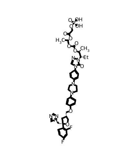 CC[C@@H]([C@H](C)OC(=O)OC(C)OC(=O)COP(=O)(O)O)n1ncn(-c2ccc(N3CCN(c4ccc(OC[C@@H]5CO[C@@](Cn6cncn6)(c6ccc(F)cc6F)C5)cc4)CC3)cc2)c1=O